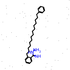 N=C(NN)c1ccccc1CCCCCCCCCCCCCCCc1ccccc1